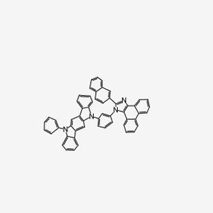 c1ccc(-n2c3ccccc3c3cc4c(cc32)c2ccccc2n4-c2cccc(-n3c(-c4ccc5ccccc5c4)nc4c5ccccc5c5ccccc5c43)c2)cc1